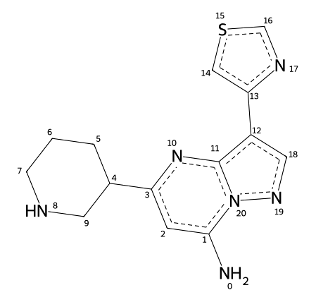 Nc1cc(C2CCCNC2)nc2c(-c3cscn3)cnn12